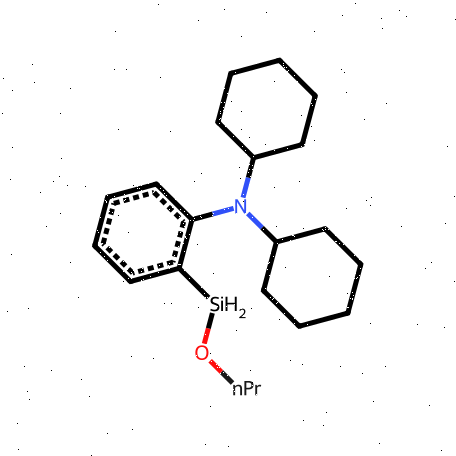 CCCO[SiH2]c1ccccc1N(C1CCCCC1)C1CCCCC1